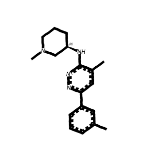 Cc1cccc(-c2cc(C)c(N[C@@H]3CCCN(C)C3)nn2)c1